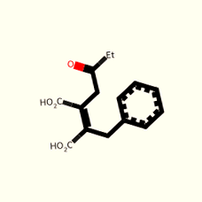 CCC(=O)CC(C(=O)O)=C(Cc1ccccc1)C(=O)O